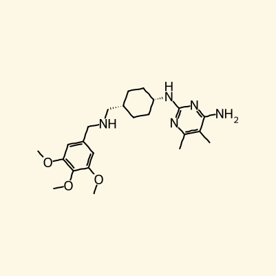 COc1cc(CNC[C@H]2CC[C@@H](Nc3nc(C)c(C)c(N)n3)CC2)cc(OC)c1OC